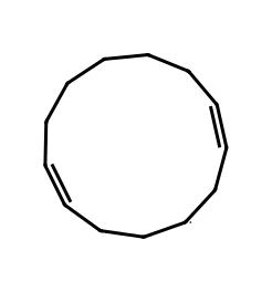 [CH]1CC=CCCCCCC=CCC1